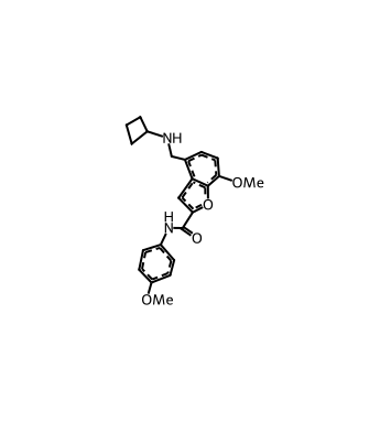 COc1ccc(NC(=O)c2cc3c(CNC4CCC4)ccc(OC)c3o2)cc1